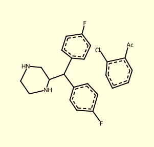 CC(=O)c1ccccc1Cl.Fc1ccc(C(c2ccc(F)cc2)C2CNCCN2)cc1